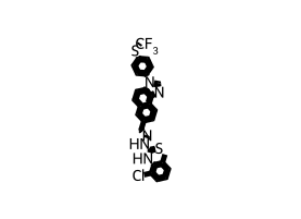 Cc1cccc(Cl)c1NC(=S)N/N=C/c1ccc2c(ccc3c2ncn3-c2ccc(SC(F)(F)F)cc2)c1